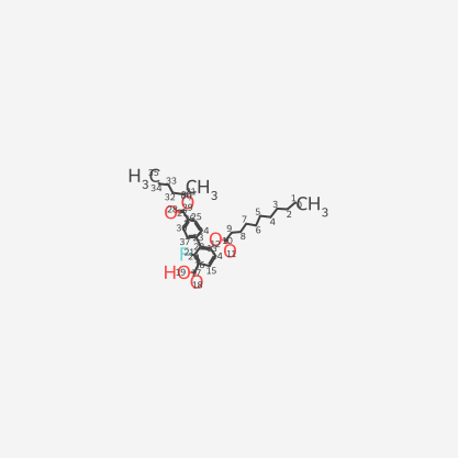 CCCCCCCCCCC(=O)Oc1ccc(C(=O)O)c(F)c1-c1ccc(C(=O)O[C@H](C)CCCC)cc1